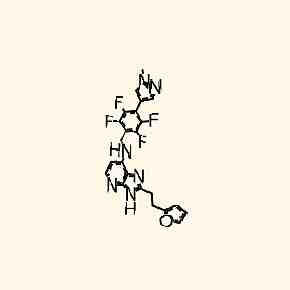 Cn1cc(-c2c(F)c(F)c(CNc3ccnc4[nH]c(CCc5ccco5)nc34)c(F)c2F)cn1